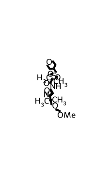 COCCOCC(C)(C)c1cc(NC(=O)C(C)(C)S(=O)(=O)CC2CCOCC2)on1